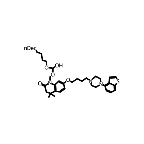 CCCCCCCCCCCCCCOC(O)OCN1C(=O)CC(C)(C)c2ccc(OCCCCN3CCN(c4cccc5sccc45)CC3)cc21